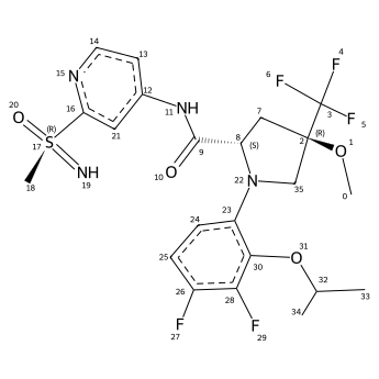 CO[C@]1(C(F)(F)F)C[C@@H](C(=O)Nc2ccnc([S@](C)(=N)=O)c2)N(c2ccc(F)c(F)c2OC(C)C)C1